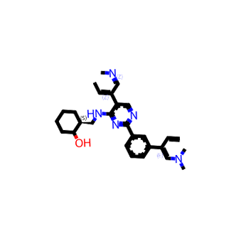 C=C/C(=C\N(C)C)c1cccc(-c2ncc(C(/C=N\C)=C/C)c(NC[C@@H]3CCCCC3O)n2)c1